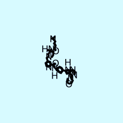 CN(C)C/C=C/C(=O)NC1(C)CCCN(Cc2ccnc(C(=O)Nc3ccc(-c4cc5c(N6CCOCC6)ncnc5[nH]4)cc3)c2)C1